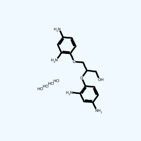 Cl.Cl.Cl.Cl.Nc1ccc(OCC(CO)Oc2ccc(N)cc2N)c(N)c1